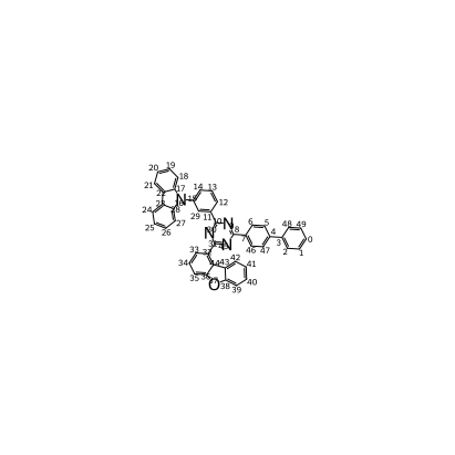 c1ccc(-c2ccc(-c3nc(-c4cccc(-n5c6ccccc6c6ccccc65)c4)nc(-c4cccc5oc6ccccc6c45)n3)cc2)cc1